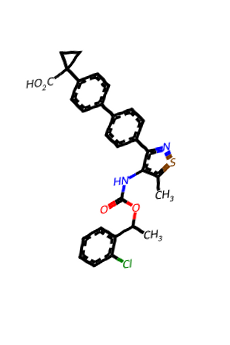 Cc1snc(-c2ccc(-c3ccc(C4(C(=O)O)CC4)cc3)cc2)c1NC(=O)OC(C)c1ccccc1Cl